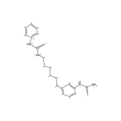 NC(=S)Nc1cccc(OCCCCCNC(=S)Nc2ccccc2)c1